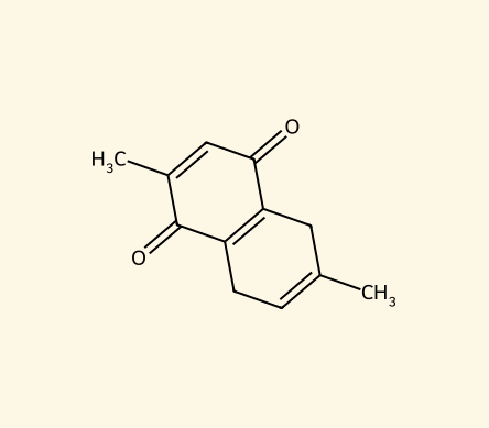 CC1=CCC2=C(C1)C(=O)C=C(C)C2=O